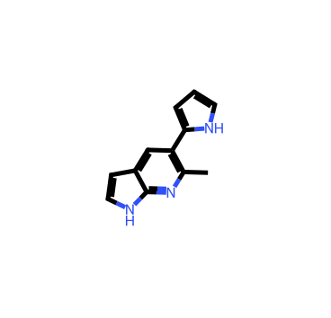 Cc1nc2[nH]ccc2cc1-c1ccc[nH]1